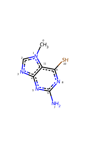 Cn1cnc2nc(N)nc(S)c21